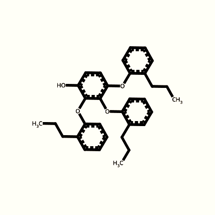 CCCc1ccccc1Oc1ccc(O)c(Oc2ccccc2CCC)c1Oc1ccccc1CCC